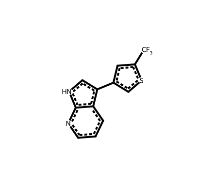 FC(F)(F)c1cc(-c2c[nH]c3ncccc23)cs1